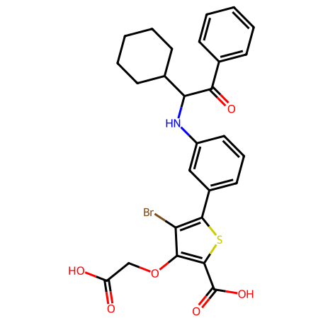 O=C(O)COc1c(C(=O)O)sc(-c2cccc(NC(C(=O)c3ccccc3)C3CCCCC3)c2)c1Br